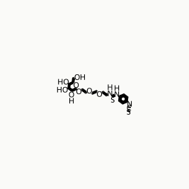 OCC1O[C@H](OCCOCCOCCNC(=S)Nc2ccc(N=C=S)cc2)C(O)[C@@H](O)[C@@H]1O